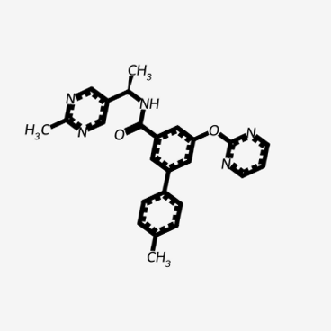 Cc1ccc(-c2cc(Oc3ncccn3)cc(C(=O)N[C@H](C)c3cnc(C)nc3)c2)cc1